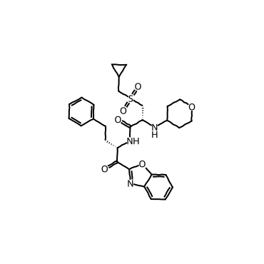 O=C(N[C@@H](CCc1ccccc1)C(=O)c1nc2ccccc2o1)[C@H](CS(=O)(=O)CC1CC1)NC1CCOCC1